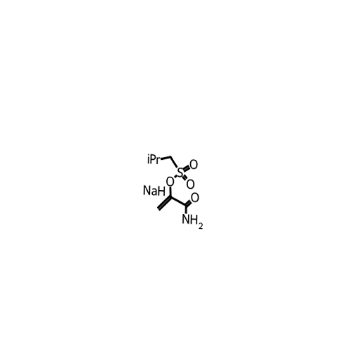 C=C(OS(=O)(=O)CC(C)C)C(N)=O.[NaH]